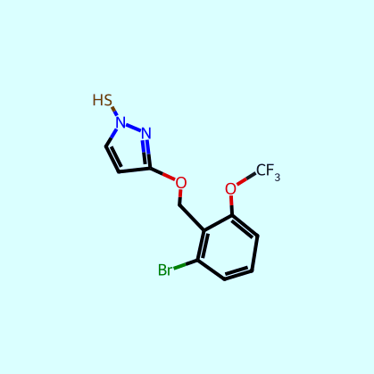 FC(F)(F)Oc1cccc(Br)c1COc1ccn(S)n1